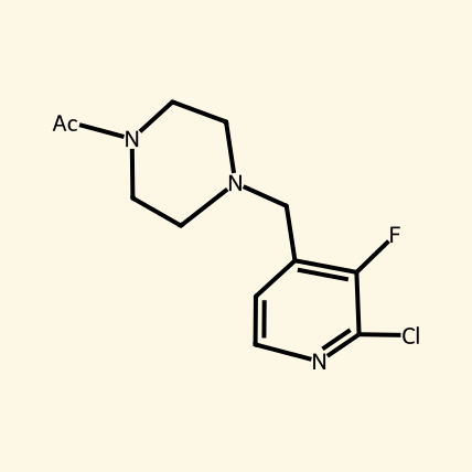 CC(=O)N1CCN(Cc2ccnc(Cl)c2F)CC1